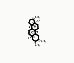 CC(=O)[C@]12CC[C@H]3[C@@H](CC[C@H]4C[C@H](C)[C@@H](C)C[C@@]43C)[C@@H]1CC[C@@H]2C